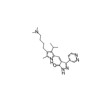 Cc1[nH]c(C=C2C(=O)NN=C2c2ccnnc2)c(C(C)C)c1CCCCN(C)C